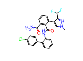 Cn1cc(-c2cccc(C(N)=O)c2C(=O)Nc2ccccc2-c2ccc(Cl)cc2)c(C(F)F)n1